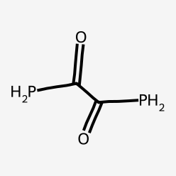 O=C(P)C(=O)P